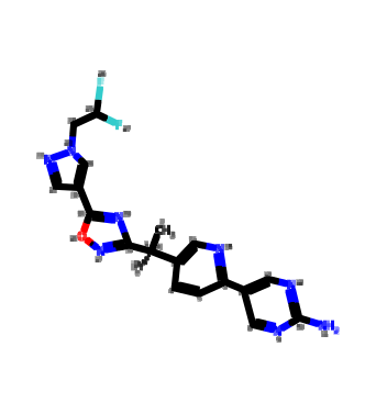 CC(C)[C@](C)(c1ccc(-c2cnc(N)nc2)nc1)c1noc(-c2cnn(CC(F)F)c2)n1